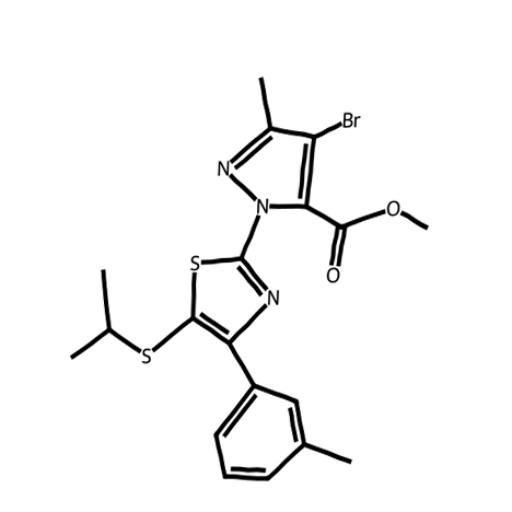 COC(=O)c1c(Br)c(C)nn1-c1nc(-c2cccc(C)c2)c(SC(C)C)s1